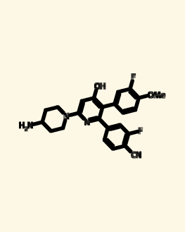 COc1ccc(-c2c(O)cc(N3CCC(N)CC3)nc2-c2ccc(C#N)c(F)c2)cc1F